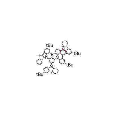 CC(C)(C)c1ccc(N2c3cc(N4c5ccc(C(C)(C)C)cc5C5(C)CCCCC45C)ccc3B3c4c2cc(N2c5ccc(C(C)(C)C)cc5C5(C)CCCCC25C)cc4-n2c4c(c5cc(C(C)(C)C)cc3c52)C(C)(C)c2ccccc2-4)c(-c2ccccc2)c1